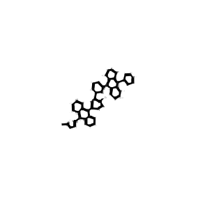 Cc1ccc(-c2c3ccccc3c(-c3ccc4c(c3)C3C=CC=C(c5c6ccccc6c(-c6ccccc6)c6ccccc56)C3S4)c3ccccc23)s1